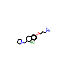 CN(C)CCCOc1ccc2c(c1)CCC(CN1CCCC1)C2.Cl